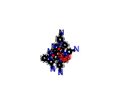 N#Cc1ccc2c(c1)Oc1ccccc1N2c1cccc2c1Oc1c(-n3c4ccccc4c4cc(C#N)ccc43)cccc1C21c2cc(-n3c4ccccc4c4cc(C#N)ccc43)cnc2-c2ncc(-n3c4ccccc4c4cc(C#N)ccc43)cc21